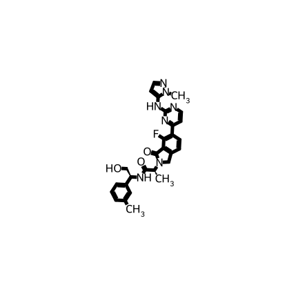 Cc1cccc([C@@H](CO)NC(=O)[C@@H](C)N2Cc3ccc(-c4ccnc(Nc5ccnn5C)n4)c(F)c3C2=O)c1